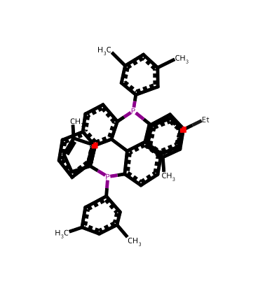 CCc1cc(C)cc(P(c2cc(C)cc(C)c2)c2ccc3ccccc3c2-c2c(P(C3=CC(C)=CC3)c3cc(C)cc(C)c3)ccc3ccccc23)c1